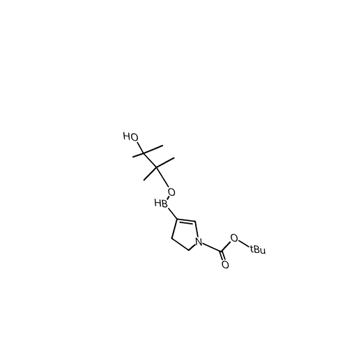 CC(C)(C)OC(=O)N1C=C(BOC(C)(C)C(C)(C)O)CC1